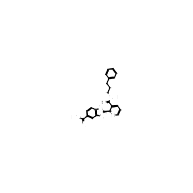 N=C(N)c1ccc2[nH]c(-c3ncccc3C(=O)NCCCc3ccccc3)nc2c1